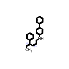 C/C=C(\C=C/CNc1ccc(-c2ccccc2)cc1)c1ccccc1